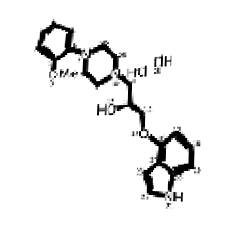 COc1ccccc1N1CCN(C[C@H](O)COc2cccc3[nH]ccc23)CC1.Cl.Cl